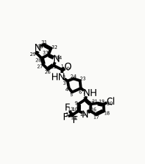 O=C(NC1CCC(Nc2cc(C(F)(F)F)nc3ccc(Cl)cc23)CC1)c1ccc2cnccc2n1